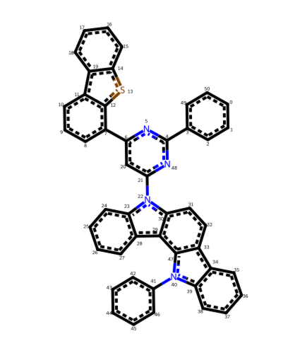 c1ccc(-c2nc(-c3cccc4c3sc3ccccc34)cc(-n3c4ccccc4c4c3ccc3c5ccccc5n(-c5ccccc5)c34)n2)cc1